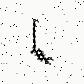 CC#CC#CC#CC#CC#CC(=O)c1ccc2cc(N(C)C)ccc2c1